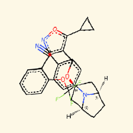 N#Cc1ccc(N2[C@@H]3CC[C@H]2C[C@@H](OCc2c(-c4ccccc4OC(F)(F)F)noc2C2CC2)C3)cc1